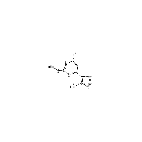 [2H]c1cc(-c2occc2C)nc(NC(C)(C)C)n1